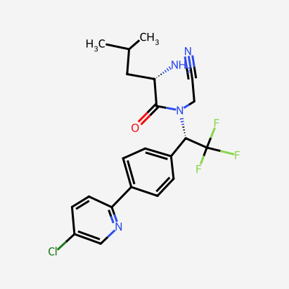 CC(C)C[C@H](N)C(=O)N(CC#N)[C@@H](c1ccc(-c2ccc(Cl)cn2)cc1)C(F)(F)F